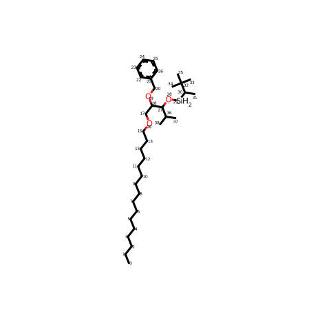 CCCCCCCCCCCCCCCCOCC(OCc1ccccc1)C(O[SiH2]C(C)C(C)(C)C)C(C)C